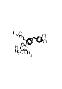 COCC[C@H]1CN(Cc2ccc(Cl)c(Cl)c2)CCN1C(=O)OC(C)(C)C